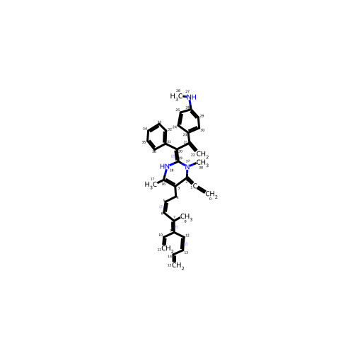 C=C=C1C(C\C=C/C(C)=C(C=C)/C=C\C=C)=C(C)N/C(=C(/C(=C)c2ccc(NC)cc2)c2ccccc2)N1C